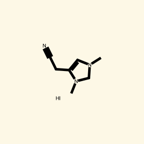 CN1C=C(CC#N)N(C)C1.I